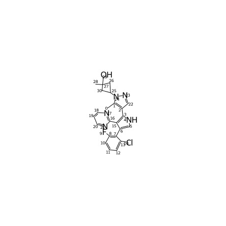 Cc1c(-c2[nH]cc(-c3c(F)cccc3Cl)c2-c2ncccn2)cnn1C1CC(C)(O)C1